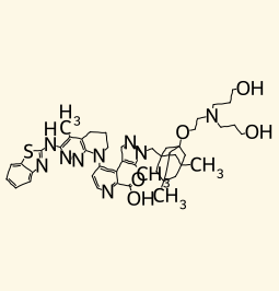 Cc1c(Nc2nc3ccccc3s2)nnc2c1CCCN2c1ccnc(C(=O)O)c1-c1cnn(CC23CC4(C)CC(C)(C2)CC(OCCN(CCCO)CCCO)(C4)C3)c1C